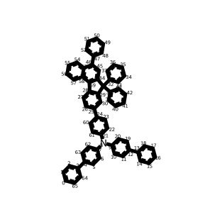 c1ccc(-c2ccc(N(c3ccc(-c4ccccc4)cc3)c3ccc(-c4ccc5c(c4)C(c4ccccc4)(c4ccccc4)c4cc(-c6ccccc6)c6ccccc6c4-5)cc3)cc2)cc1